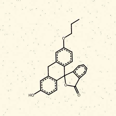 CCCOc1ccc2c(c1)Cc1cc(O)ccc1C21OC(=O)c2ccccc21